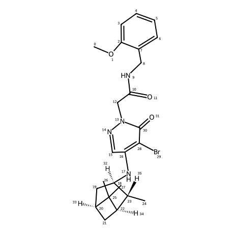 COc1ccccc1CNC(=O)Cn1ncc(N[C@@H]2C[C@@H]3C[C@H]([C@H]2C)C3(C)C)c(Br)c1=O